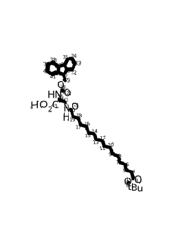 CC(C)(C)OC(=O)CCCCCCCCCCCCCCCCC(=O)NCC(NC(=O)OCC1c2ccccc2-c2ccccc21)C(=O)O